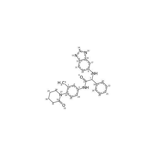 Cc1cc(NC(=O)C(Nc2ccc3nsnc3c2)c2ccccc2)ccc1N1CCCCC1=O